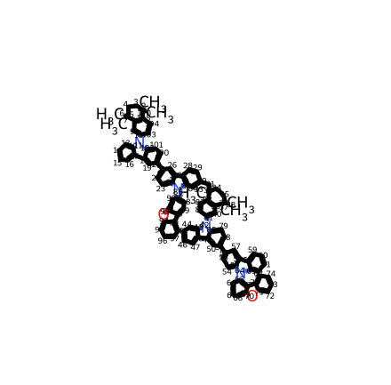 CC1(C)CCC(C)(C)c2cc(-n3c4ccccc4c4cc(-c5ccc6c(c5)c5ccc(CC7(C)CCC(C)(C)c8cc(-n9c%10ccccc%10c%10cc(-c%11ccc%12c(c%11)c%11ccccc%11n%12-c%11cccc%12oc%13ccccc%13c%11%12)ccc%109)ccc87)cc5n6-c5ccc6c(c5)oc5ccccc56)ccc43)ccc21